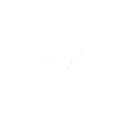 O=c1c2c[nH]c3ccccc3c-2nn1-c1nccs1